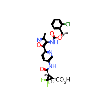 Cc1noc(-c2ccc(NC(=O)[C@H]3[C@H](C(=O)O)C3(F)F)cn2)c1NC(=O)O[C@H](C)c1ccccc1Cl